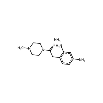 CN1CCN(C(=O)Cc2ccc(N)cc2N)CC1.N